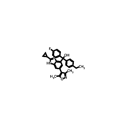 CCc1ccc(C(O)(c2ccc(F)cc2)c2cc(-c3c(C)noc3C)cc3[nH]c(C4CC4)nc23)cc1